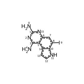 Nc1nc(N)c2c(cc(I)c3[nH]ccc32)n1